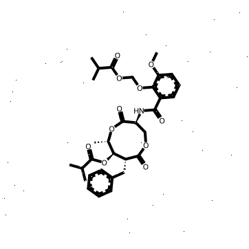 COc1cccc(C(=O)N[C@H]2COC(=O)[C@H](Cc3ccccc3)[C@@H](OC(=O)C(C)C)[C@H](C)OC2=O)c1OCOC(=O)C(C)C